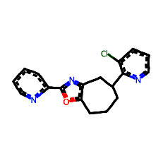 Clc1cccnc1C1CCCc2oc(-c3ccccn3)nc2C1